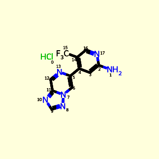 Cl.Nc1cc(-c2cn3ncnc3cn2)c(C(F)(F)F)cn1